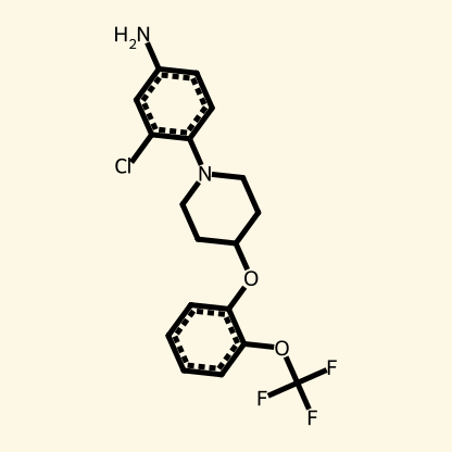 Nc1ccc(N2CCC(Oc3ccccc3OC(F)(F)F)CC2)c(Cl)c1